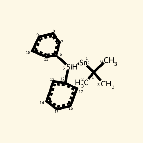 C[C](C)(C)[Sn][SiH](c1ccccc1)c1ccccc1